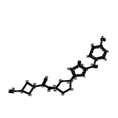 N#Cc1cnc(Nc2cc([C@H]3CC[C@@H](OC(=O)N4CC(C#N)C4)C3)n[nH]2)cn1